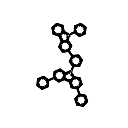 c1ccc(-c2ccc3c(c2)c2cc(-c4ccccc4)ccc2n3-c2cccc(-c3ccc4c5ccccc5n(-c5ccccc5)c4c3)c2)cc1